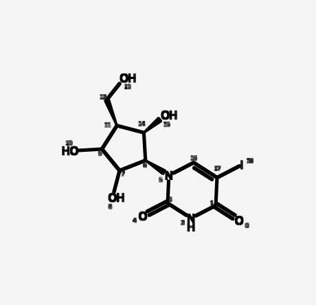 O=c1[nH]c(=O)n([C@H]2C(O)C(O)[C@@H](CO)[C@H]2O)cc1I